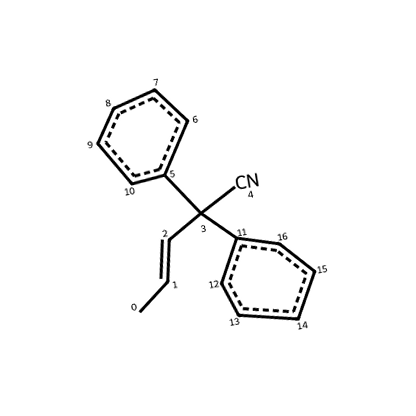 CC=CC(C#N)(c1ccccc1)c1ccccc1